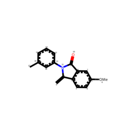 C=C1c2ccc(OC)cc2C(=O)N1c1cccc(C)c1